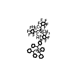 CC([CH2][Al]([CH2]C(C)c1c(F)c(F)c(F)c(F)c1F)[CH2]C(C)c1c(F)c(F)c(F)c(F)c1F)c1c(F)c(F)c(F)c(F)c1F.c1ccc(C([CH2][Al]([CH2]C(c2ccccc2)c2ccccc2)[CH2]C(c2ccccc2)c2ccccc2)c2ccccc2)cc1